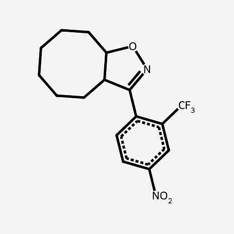 O=[N+]([O-])c1ccc(C2=NOC3CCCCCCC23)c(C(F)(F)F)c1